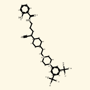 N#CC(CCCNC(=O)c1ccccc1O)C1CCC(CCN2CCN(c3cc(C(F)(F)F)cc(C(F)(F)F)c3)CC2)CC1